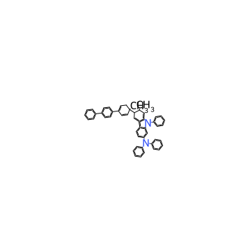 CC1C=c2c(c3ccc(N(c4ccccc4)c4ccccc4)cc3n2-c2ccccc2)=CC1C1(C)C=CC(c2ccc(-c3ccccc3)cc2)=CC1